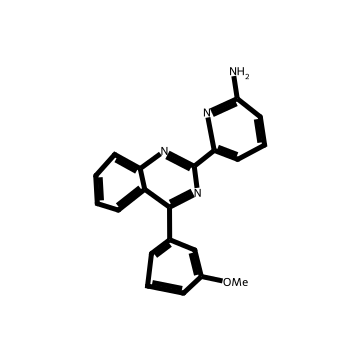 COc1cccc(-c2nc(-c3cccc(N)n3)nc3ccccc23)c1